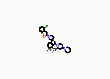 O=C(Cc1c(F)cccc1Cl)N1CC[C@@](CCN2CCC(N3CCCCC3)CC2)(c2ccc(C(F)(F)F)c(C(F)(F)F)c2)C1